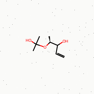 C=CC(O)[C@H](C)OC(C)(C)O